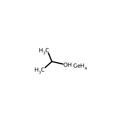 CC(C)O.[GeH4]